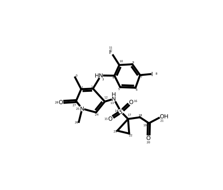 Cc1c(Nc2ccc(I)cc2F)c(NS(=O)(=O)C2(CC(=O)O)CC2)cn(C)c1=O